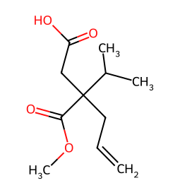 C=CCC(CC(=O)O)(C(=O)OC)C(C)C